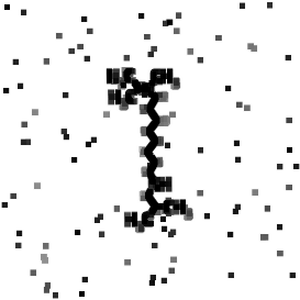 CC(C)CNCCCCCCCCN(C)C(C)C